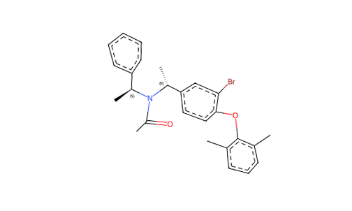 CC(=O)N([C@H](C)c1ccc(Oc2c(C)cccc2C)c(Br)c1)[C@@H](C)c1ccccc1